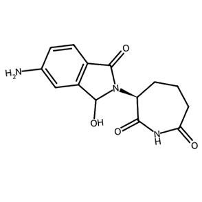 Nc1ccc2c(c1)C(O)N([C@H]1CCCC(=O)NC1=O)C2=O